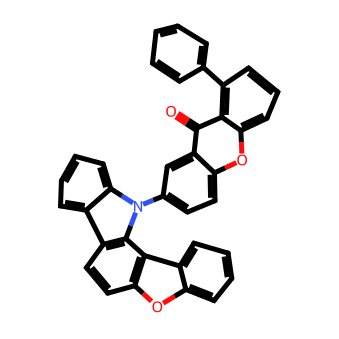 O=c1c2cc(-n3c4ccccc4c4ccc5oc6ccccc6c5c43)ccc2oc2cccc(-c3ccccc3)c12